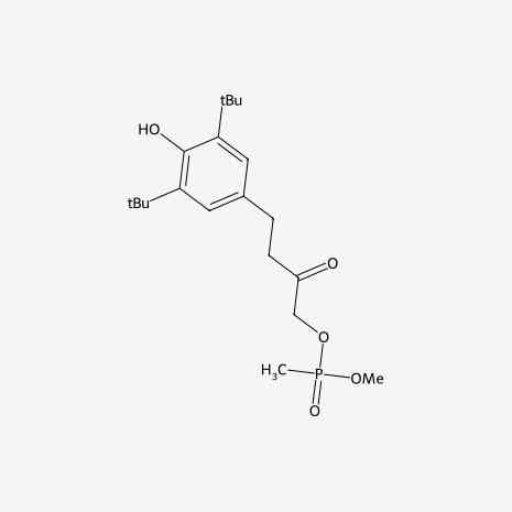 COP(C)(=O)OCC(=O)CCc1cc(C(C)(C)C)c(O)c(C(C)(C)C)c1